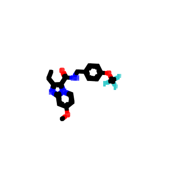 CCc1nc2cc(OC)ccn2c1C(=O)NCc1ccc(OC(F)(F)F)cc1